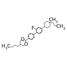 CCCCC1COC(c2ccc(-c3ccc(C4CCC(C)(CCC)CC4)cc3F)cc2)OC1